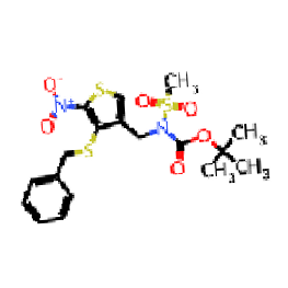 CC(C)(C)OC(=O)N(Cc1csc([N+](=O)[O-])c1SCc1ccccc1)S(C)(=O)=O